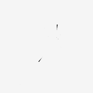 CCC(=O)C12C[C@H](c3ccc(Cl)c(Cl)c3)CC(C[C@@H]1OCOC)N2C